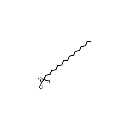 CCCCCCCCCCCCCCCCC1(Cl)OC1Cl